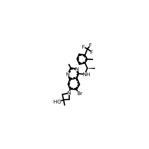 Cc1nc(N[C@H](C)c2cccc(C(F)(F)F)c2C)c2cc(Br)c(N3CC(C)(O)C3)cc2n1